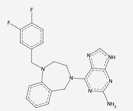 Nc1nc(N2CCN(Cc3ccc(F)c(F)c3)c3ccccc3C2)c2nc[nH]c2n1